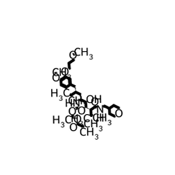 COCCCOc1cc(C[C@H](C[C@H](NC(=O)OC(C)OC(=O)C(C)C)[C@H](O)C[C@H](C(=O)NCC2CCOCC2)C(C)C)C(C)C)ccc1OC